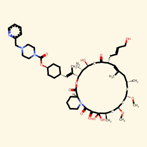 CO[C@@H]1C[C@@H](OC)C[C@@H](C)C/C(C)=C/[C@@H](C/C=C/CO)C(=O)C[C@H](O)[C@@H](C)[C@@H](/C(C)=C/[C@H]2CC[C@H](OC(=O)N3CCN(Cc4ccccn4)CC3)CC2)OC(=O)[C@@H]2CCCCN2C(=O)C(=O)C(O)(O)[C@H](C)C1